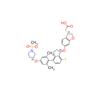 Cc1cc(O[C@@H]2CCN(S(C)(=O)=O)C2)cc(C)c1-c1ccc(F)c2c1CC[C@H]2Oc1ccc2c(c1)OC[C@H]2CC(=O)O